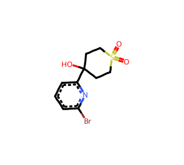 O=S1(=O)CCC(O)(c2cccc(Br)n2)CC1